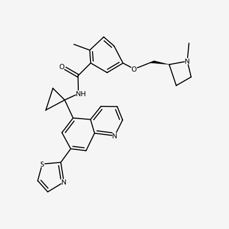 Cc1ccc(OC[C@@H]2CCN2C)cc1C(=O)NC1(c2cc(-c3nccs3)cc3ncccc23)CC1